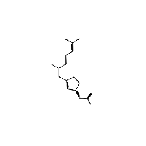 CC(C)=CCCC(C)CC1=C/C(=C/C(=O)O)CC1